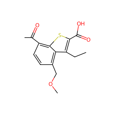 CCc1c(C(=O)O)sc2c(C(C)=O)ccc(COC)c12